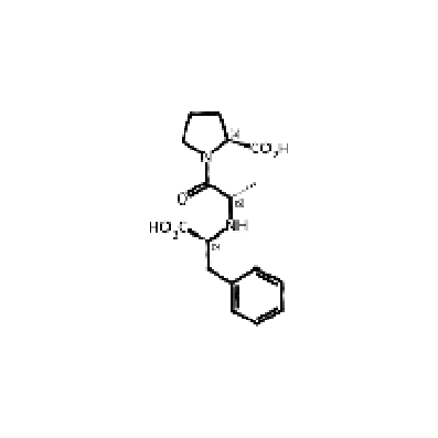 C[C@H](N[C@@H](Cc1ccccc1)C(=O)O)C(=O)N1CCC[C@H]1C(=O)O